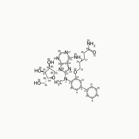 CN(c1ccc(-c2ccccc2)cc1OCCCCC(N)=O)c1nc2c(N)ncnc2n1[C@@H]1O[C@H](CO)[C@@H](O)[C@H]1O